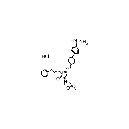 COC(=O)CN(C)[C@@H]1C[C@@H](COc2ccc(-c3ccc(C(=N)N)cc3)cc2)N(CCCc2ccccc2)C1=O.Cl